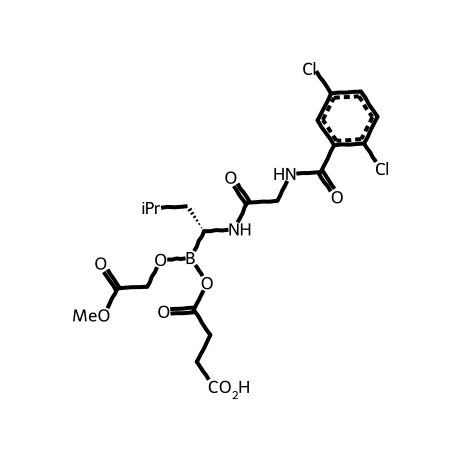 COC(=O)COB(OC(=O)CCC(=O)O)[C@H](CC(C)C)NC(=O)CNC(=O)c1cc(Cl)ccc1Cl